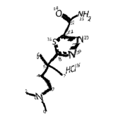 CN(C)CCC(C)(C)c1nnc(C(N)=O)s1.Cl